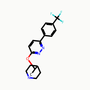 FC(F)(F)c1ccc(-c2ccc(OC3CN4CCC3CC4)nn2)cc1